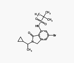 CC(C1CC1)N1Cc2cc(Br)cc(NS(=O)(=O)C(C)(C)C)c2C1=O